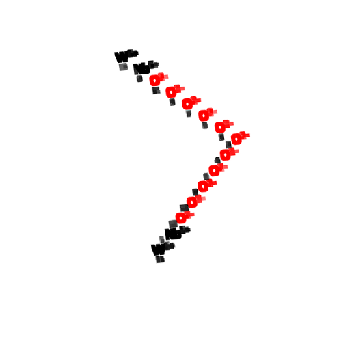 [Nb+5].[Nb+5].[O-2].[O-2].[O-2].[O-2].[O-2].[O-2].[O-2].[O-2].[O-2].[O-2].[O-2].[W+6].[W+6]